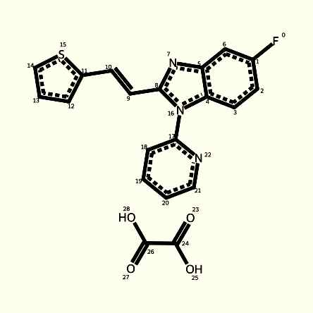 Fc1ccc2c(c1)nc(C=Cc1cccs1)n2-c1ccccn1.O=C(O)C(=O)O